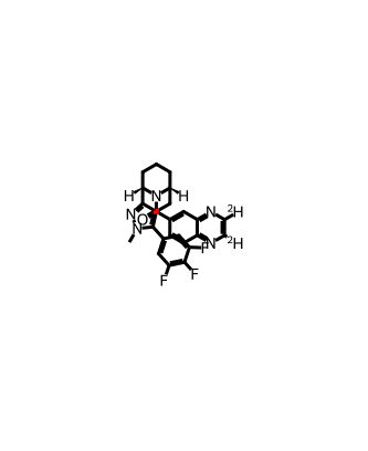 [2H]c1nc2ccc(C(=O)N3[C@@H]4CCC[C@H]3c3nn(C)c(-c5cc(F)c(F)c(F)c5)c3C4)cc2nc1[2H]